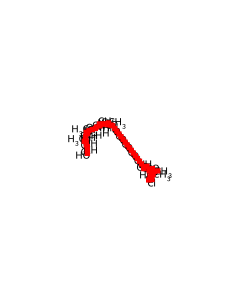 CC(=O)N1c2ccc(-c3ccc(C(=O)NCCOCCOCCOCCOCCOCCOCCOCCOCCNC(=O)c4cc(NC(=O)c5nc(NC(=O)CCNC(=O)c6cc(NC(=O)c7nc(NC(=O)CCNC(=O)CO)cn7C)cn6C)cn5C)cn4C)cc3)cc2[C@H](Nc2ccc(Cl)cc2)C[C@@H]1C